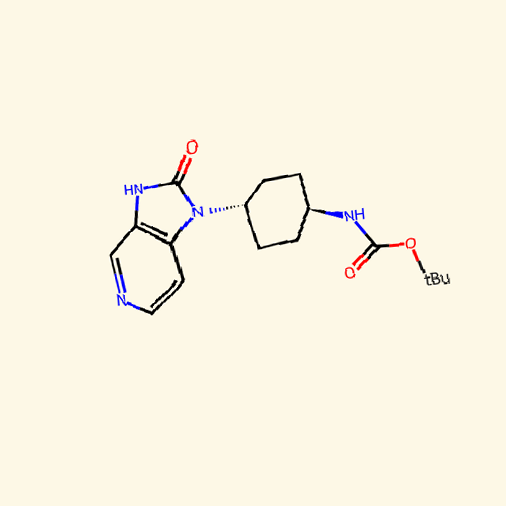 CC(C)(C)OC(=O)N[C@H]1CC[C@H](n2c(=O)[nH]c3cnccc32)CC1